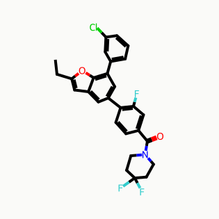 CCc1cc2cc(-c3ccc(C(=O)N4CCC(F)(F)CC4)cc3F)cc(-c3cccc(Cl)c3)c2o1